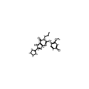 CCCn1c(Oc2ccc(Cl)cc2OC)nc2nc(C3CCCC3)[nH]c2c1=O